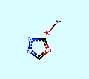 OS.c1nnco1